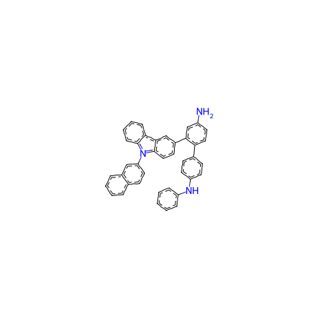 Nc1ccc(-c2ccc(Nc3ccccc3)cc2)c(-c2ccc3c(c2)c2ccccc2n3-c2ccc3ccccc3c2)c1